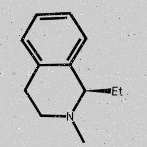 CC[C@@H]1c2ccccc2CCN1C